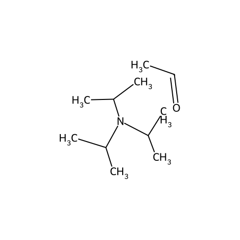 CC(C)N(C(C)C)C(C)C.CC=O